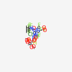 Cc1cc(CC(=O)OC(C)(C)C)c(C(C)CC(=O)CN(Cc2nn(CC(F)(F)F)c3c(-c4ccc(C#CC(C)(C)S(C)(=O)=O)nc4[C@H](Cc4cc(F)cc(F)c4)NC(=O)Cn4nc(C(F)(F)F)c5c4C(F)(F)[C@@H]4C[C@H]54)ccc(Cl)c23)[SH](=O)=O)c(OP(=O)(OC(C)C)OC(C)C)c1